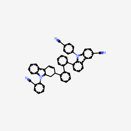 N#Cc1ccc(-n2c3ccc(C#N)cc3c3cccc(-c4ccccc4-c4ccccc4C4C=Cc5c(n(-c6ccccc6C#N)c6ccccc56)C4)c32)cc1